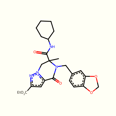 CCOC(=O)c1cc2n(n1)CC(C)(C(=O)NC1CCCCC1)N(Cc1ccc3c(c1)OCO3)C2=O